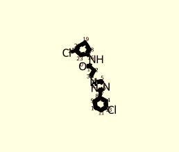 O=C(C=Cn1cnc(-c2cccc(Cl)c2)n1)Nc1cccc(Cl)c1